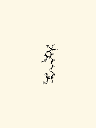 COc1ccc(C(F)(F)F)cc1C=CCON=C(C)C(=O)O